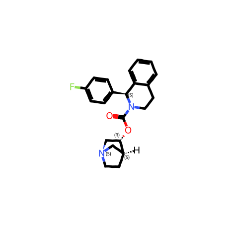 O=C(O[C@H]1C[N@]2CC[C@H]1C2)N1CCc2ccccc2[C@@H]1c1ccc(F)cc1